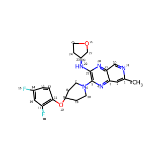 Cc1cc2nc(N3CCC(Oc4ccc(F)cc4F)CC3)c(N[C@H]3CCOC3)nc2cn1